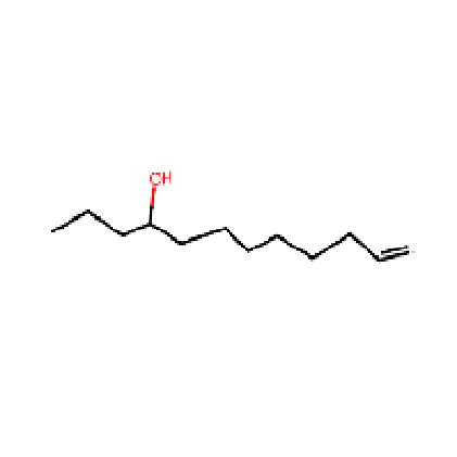 [CH]=CCCCCCCC(O)CCC